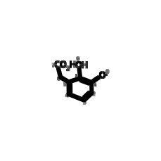 [O]c1cccc(CC(=O)O)c1O